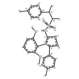 COc1cccc(OC)c1-n1c(NS(=O)(=O)C(C)C(C)c2ncc(C)cn2)nnc1-c1ccc(C)nc1